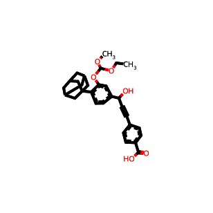 CCOC(OC)Oc1cc(C(O)C#Cc2ccc(C(=O)O)cc2)ccc1C12CC3CC(CC(C3)C1)C2